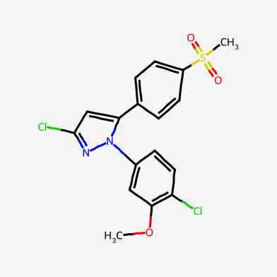 COc1cc(-n2nc(Cl)cc2-c2ccc(S(C)(=O)=O)cc2)ccc1Cl